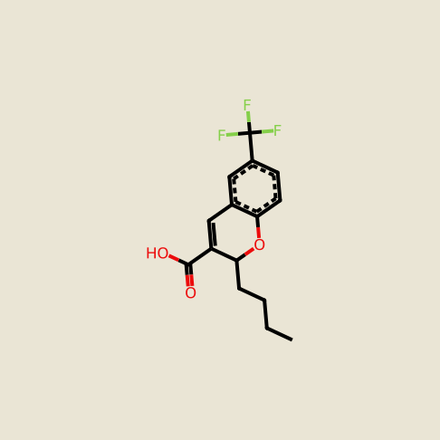 CCCCC1Oc2ccc(C(F)(F)F)cc2C=C1C(=O)O